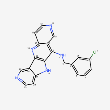 Clc1cccc(CNc2c3cnccc3nc3c2[nH]c2ccncc23)c1